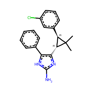 CC1(C)[C@H](c2cccc(Cl)c2)[C@H]1c1nc(N)[nH]c1-c1ccccc1